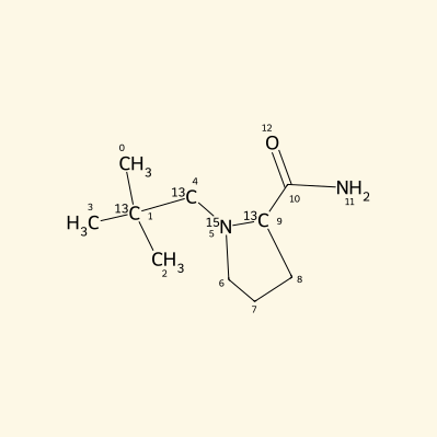 C[13C](C)(C)[13CH2][15N]1CCC[13CH]1C(N)=O